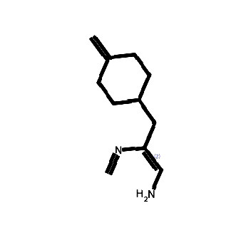 C=N/C(=C\N)CC1CCC(=C)CC1